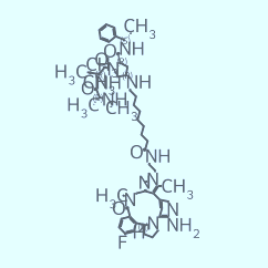 CC[C@H](NC(=O)[C@H]1C[C@@H](NCCCCCCCCC(=O)NCCn2nc3c(c2C)-c2cnc(N)c(c2)N2CCC[C@@H]2c2cc(F)ccc2C(=O)N(C)C3)CN1C(=O)[C@H](NC(=O)[C@@H](C)NC)C(C)(C)C)c1ccccc1